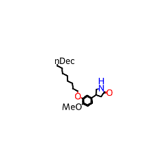 CCCCCCCCCCCCCCCCCCOc1cc(C2CNC(=O)C2)ccc1OC